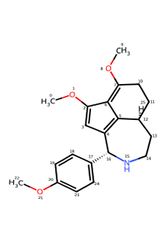 COC1=CC2=C3C1=C(OC)CC[C@H]3CCN[C@@H]2c1ccc(OC)cc1